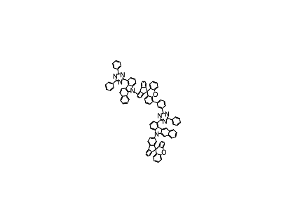 c1ccc(-c2nc(-c3cccc(-c4cccc5c4Oc4ccccc4C54c5ccccc5-c5c(-n6c7cccc(-c8nc(-c9ccccc9)nc(-c9ccccc9)n8)c7c7ccc8ccccc8c76)cccc54)c3)nc(-c3cccc4c3c3cc5ccccc5cc3n4-c3ccc4c(c3)C3(c5ccccc5Oc5ccccc53)c3ccccc3-4)n2)cc1